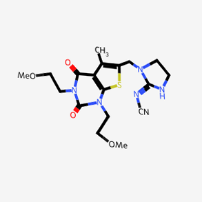 COCCn1c(=O)c2c(C)c(CN3CCN/C3=N\C#N)sc2n(CCOC)c1=O